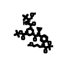 COCCCN1C(=O)C(C)(C)Oc2ccc(N(C(=O)[C@@H]3C[C@H](C(=O)N[C@H](COC)C(C)(C)C)CN(C(=O)OC(C)(C)C)C3)C3CC3)cc21